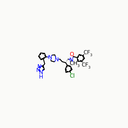 CN(C[C@@H](CCN1CCN(c2ccccc2Cc2c[nH]nn2)CC1)c1ccc(Cl)cc1)C(=O)c1cc(C(F)(F)F)cc(C(F)(F)F)c1